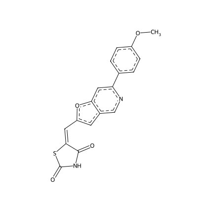 COc1ccc(-c2cc3oc(/C=C4/SC(=O)NC4=O)cc3cn2)cc1